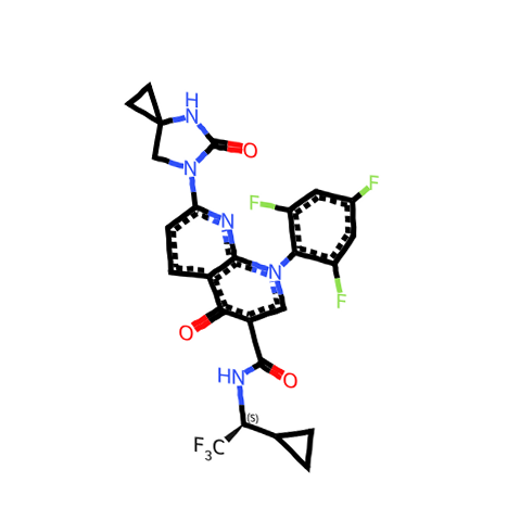 O=C(N[C@@H](C1CC1)C(F)(F)F)c1cn(-c2c(F)cc(F)cc2F)c2nc(N3CC4(CC4)NC3=O)ccc2c1=O